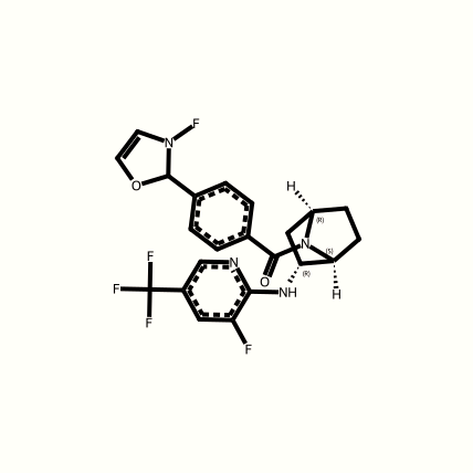 O=C(c1ccc(C2OC=CN2F)cc1)N1[C@@H]2CC[C@H]1[C@H](Nc1ncc(C(F)(F)F)cc1F)C2